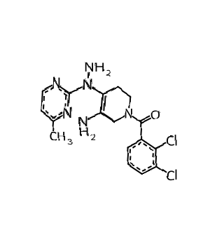 Cc1ccnc(N(N)C2=C(N)CN(C(=O)c3cccc(Cl)c3Cl)CC2)n1